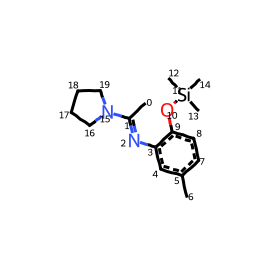 CC(=Nc1cc(C)ccc1O[Si](C)(C)C)N1CCCC1